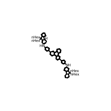 CCCCCCC1(CCCCCC)C2=CC(Nc3ccc(-c4ccc5c6ccc(-c7ccc(Nc8ccc9c(c8)C(CCCCCC)(CCCCCC)C8C=CC=CC98)cc7)cc6c6ccccc6c5c4)cc3)=CC[C@H]2c2ccccc21